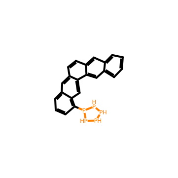 c1ccc2cc3c(ccc4cc5cccc(-p6[pH][pH][pH][pH]6)c5cc43)cc2c1